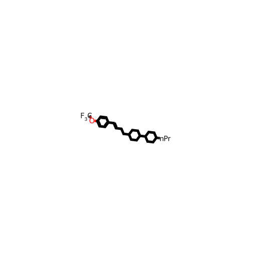 CCCC1CCC(C2CCC(CCC=Cc3ccc(OC(F)(F)F)cc3)CC2)CC1